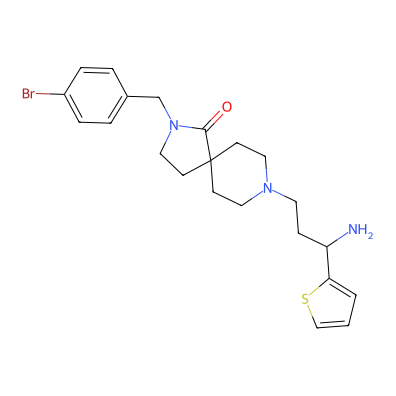 NC(CCN1CCC2(CC1)CCN(Cc1ccc(Br)cc1)C2=O)c1cccs1